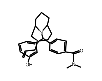 C=CCN1CCC2CCCC(C1)N2C(c1ccc(C(=O)N(C)C)cc1)c1cccc(O)c1